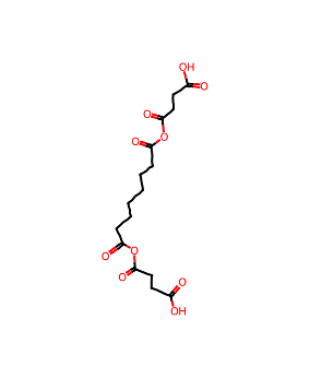 O=C(O)CCC(=O)OC(=O)CCCCCCC(=O)OC(=O)CCC(=O)O